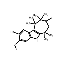 Bc1cc2c3c([nH]c2cc1OC)C(B)(B)CN(C)C(B)(B)C3(B)B